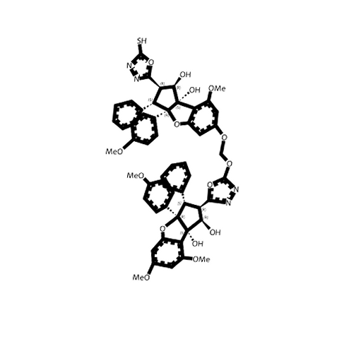 COc1ccc([C@@]23Oc4cc(OCOc5nnc([C@H]6[C@@H](O)[C@@]7(O)c8c(OC)cc(OC)cc8O[C@@]7(c7ccc(OC)cc7)[C@@H]6c6ccccc6)o5)cc(OC)c4[C@]2(O)[C@H](O)[C@H](c2nnc(S)o2)[C@H]3c2ccccc2)cc1